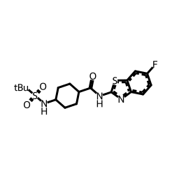 CC(C)(C)S(=O)(=O)NC1CCC(C(=O)Nc2nc3ccc(F)cc3s2)CC1